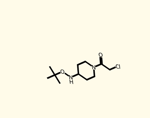 CC(C)(C)ONC1CCN(C(=O)CCl)CC1